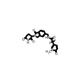 Cn1cc(C(F)(F)C(=O)NCc2ccc3c(c2)CN(C2CCC(=O)NC2=O)C3=O)ccc1=O